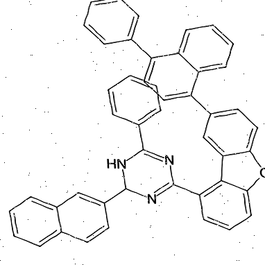 c1ccc(C2=NC(c3cccc4oc5ccc(-c6ccc(-c7ccccc7)c7ccccc67)cc5c34)=NC(c3ccc4ccccc4c3)N2)cc1